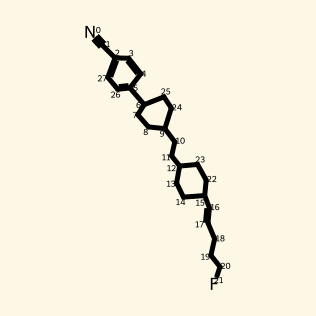 N#Cc1ccc(C2CCC(CCC3CCC(C=CCCCF)CC3)CC2)cc1